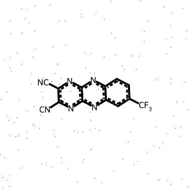 [C-]#[N+]c1nc2nc3cc(C(F)(F)F)ccc3nc2nc1C#N